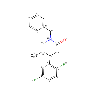 O=C1C[C@@H](c2cc(F)ccc2F)C([N+](=O)[O-])CN1Cc1ccccc1